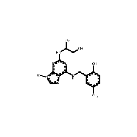 CCn1cnc2c(NCc3cc(C)ccc3O)nc(NC(CO)C(C)C)nc21